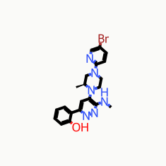 CNc1nnc(-c2ccccc2O)cc1N1CCN(c2ccc(Br)cn2)C[C@@H]1C